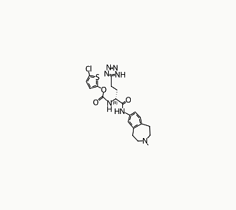 CN1CCc2ccc(NC(=O)[C@@H](CCc3nnn[nH]3)NC(=O)Oc3ccc(Cl)s3)cc2CC1